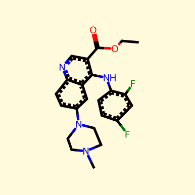 CCOC(=O)c1cnc2ccc(N3CCN(C)CC3)cc2c1Nc1ccc(F)cc1F